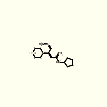 C=C(/C=C(\C=N/N)N1CCNCC1)NC1CCCC1